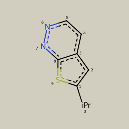 CC(C)c1cc2ccnnc2s1